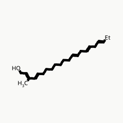 CCC=CCC=CCC=CCCCCCCCC=CC(C)=CCO